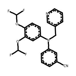 N#Cc1cccc(N(Cc2cccnc2)c2ccc(OC(F)F)c(OC(F)F)c2)c1